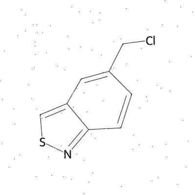 ClCc1ccc2nscc2c1